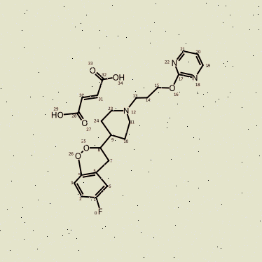 Fc1ccc2c(c1)CC(C1CCN(CCCOc3ncccn3)CC1)OO2.O=C(O)/C=C/C(=O)O